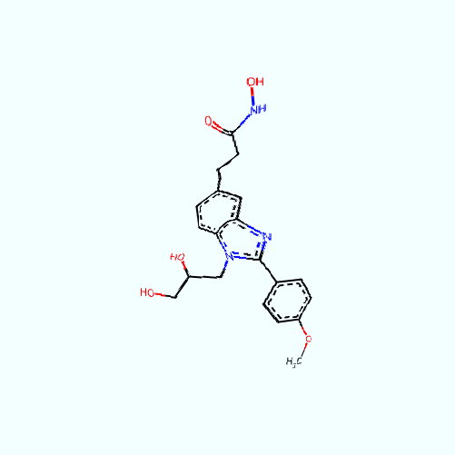 COc1ccc(-c2nc3cc(CCC(=O)NO)ccc3n2CC(O)CO)cc1